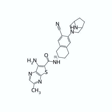 Cc1cnc2c(N)c(C(=O)N[C@H]3CCc4cc(N5CC6CCC(C5)N6)c(C#N)cc4C3)sc2n1